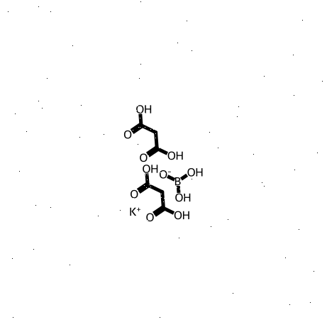 O=C(O)CC(=O)O.O=C(O)CC(=O)O.[K+].[O-]B(O)O